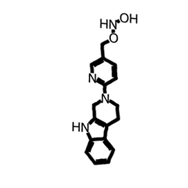 ONOCc1ccc(N2CCc3c([nH]c4ccccc34)C2)nc1